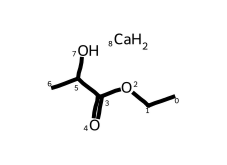 CCOC(=O)C(C)O.[CaH2]